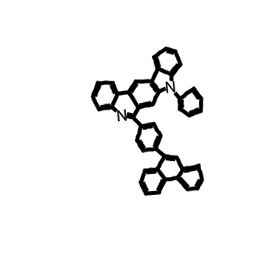 c1ccc(-n2c3ccccc3c3cc4c(cc32)c(-c2ccc(-c3cc5ccccc5c5ccccc35)cc2)nc2ccccc24)cc1